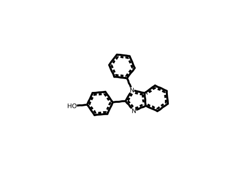 Oc1ccc(-c2nc3ccccc3n2-c2ccccc2)cc1